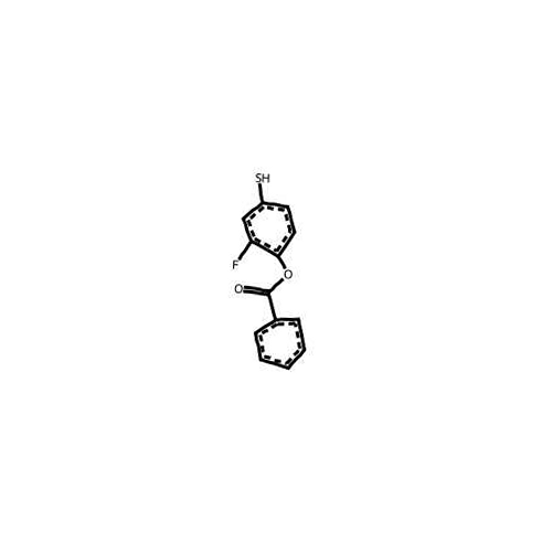 O=C(Oc1ccc(S)cc1F)c1ccccc1